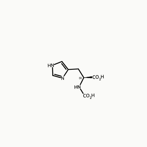 O=C(O)N[C@@H](Cc1c[nH]cn1)C(=O)O